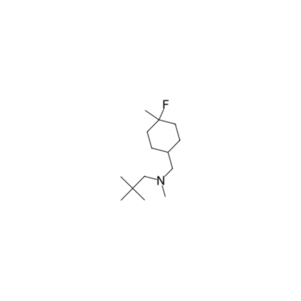 CN(CC1CCC(C)(F)CC1)CC(C)(C)C